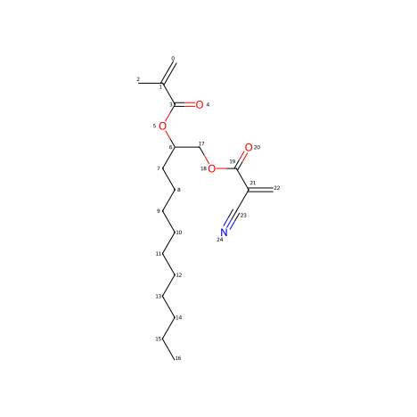 C=C(C)C(=O)OC(CCCCCCCCCC)COC(=O)C(=C)C#N